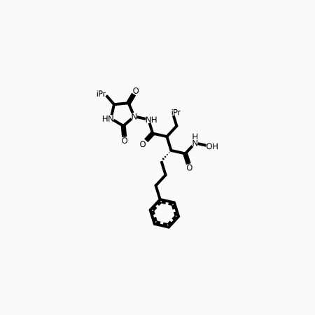 CC(C)CC(C(=O)NN1C(=O)NC(C(C)C)C1=O)[C@@H](CCCc1ccccc1)C(=O)NO